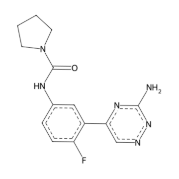 Nc1nncc(-c2cc(NC(=O)N3CCCC3)ccc2F)n1